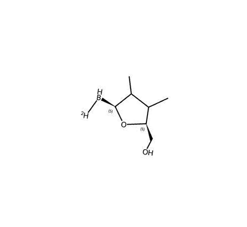 [2H]B[C@@H]1O[C@H](CO)C(C)C1C